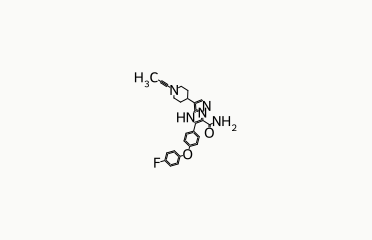 CC#CN1CCC(c2cnn3c(C(N)=O)c(-c4ccc(Oc5ccc(F)cc5)cc4)[nH]c23)CC1